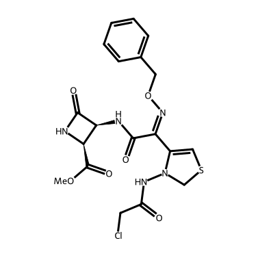 COC(=O)[C@H]1NC(=O)[C@H]1NC(=O)C(=NOCc1ccccc1)C1=CSCN1NC(=O)CCl